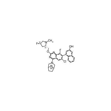 CN1C[C@H](F)C[C@H]1COc1nc(N2CC3CCC(C2)N3)c2cc(Cl)c(-c3cc(O)cc4ccccc34)c(F)c2n1